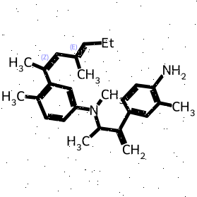 C=C(c1ccc(N)c(C)c1)C(C)N(C)c1ccc(C)c(/C(C)=C\C(C)=C\CC)c1